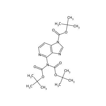 CC(C)(C)OC(=O)N(C(=O)OC(C)(C)C)c1nccc2c1ncn2C(=O)OC(C)(C)C